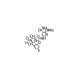 COc1ncc(NC(=O)C(=O)N2C[C@H](C)N(C(=O)C3(C)CC3)C[C@H]2c2ccc(F)cc2)cc1C(N)=O